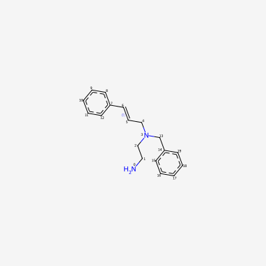 NCCN(C/C=C/c1ccccc1)Cc1ccccc1